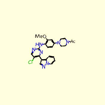 COc1cc(N2CCN(C(C)=O)CC2)ccc1Nc1ncc(Cl)c(-c2cnn3ccccc23)n1